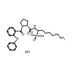 Cl.NCCCCCC(NC(=O)[C@@H]1CCCN1C(=O)c1ccccc1Oc1ccccc1)P(=O)(O)O